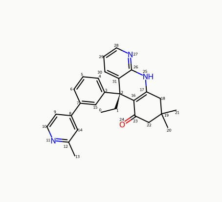 CC[C@]1(c2cccc(-c3ccnc(C)c3)c2)C2=C(CC(C)(C)CC2=O)Nc2ncccc21